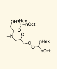 CCCCCCCCC(CCCCCC)OOCC(CN(C)CCO)OOC(CCCCCC)CCCCCCCC